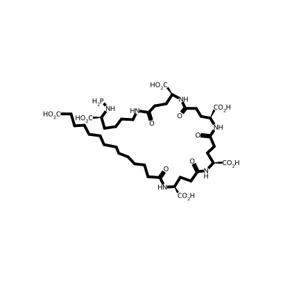 O=C(O)CCCCCCCCCCCCC(=O)N[C@@H](CCC(=O)N[C@@H](CCC(=O)N[C@@H](CCC(=O)N[C@@H](CCC(=O)NCCCC[C@H](NP)C(=O)O)C(=O)O)C(=O)O)C(=O)O)C(=O)O